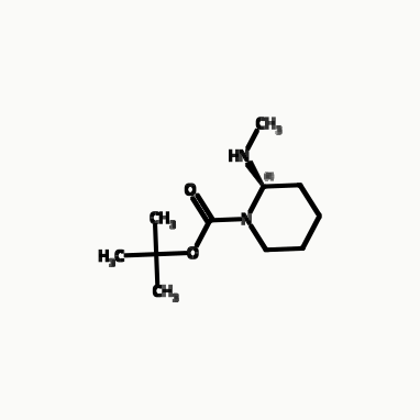 CN[C@H]1CCCCN1C(=O)OC(C)(C)C